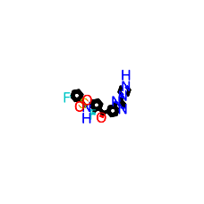 O=C(c1ccc2ncc(N3CCNCC3)nc2c1)c1cccc(NS(=O)(=O)c2cccc(F)c2)c1F